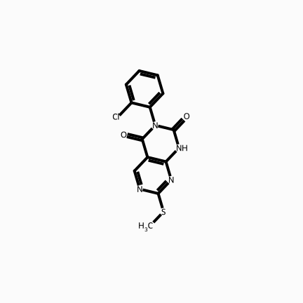 CSc1ncc2c(=O)n(-c3ccccc3Cl)c(=O)[nH]c2n1